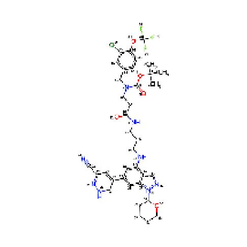 CC(C)(C)OC(=O)N(CCC(=O)NCCCNc1cc(C2=CC(C#N)=NNC2)cc2c1cnn2C1CCCCO1)Cc1ccc(OC(F)(F)F)c(Cl)c1